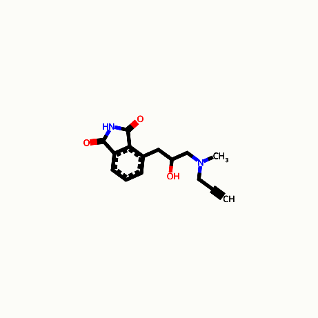 C#CCN(C)CC(O)Cc1cccc2c1C(=O)NC2=O